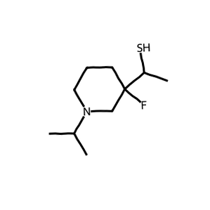 CC(C)N1CCCC(F)(C(C)S)C1